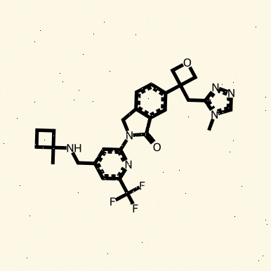 Cn1cnnc1CC1(c2ccc3c(c2)C(=O)N(c2cc(CNC4(C)CCC4)cc(C(F)(F)F)n2)C3)COC1